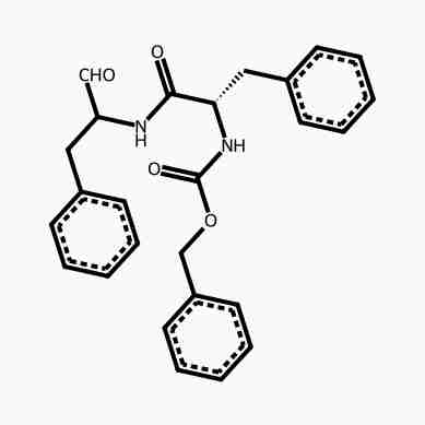 O=CC(Cc1ccccc1)NC(=O)[C@H](Cc1ccccc1)NC(=O)OCc1ccccc1